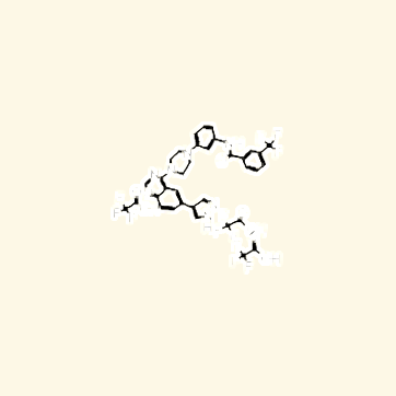 O=C(Nc1cccc(N2CCN(c3ncnc4ccc(-c5cn[nH]c5)cc34)CC2)c1)c1cccc(C(F)(F)F)c1.O=C(O)C(F)(F)F.O=C(O)C(F)(F)F.O=C(O)C(F)(F)F